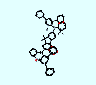 CC1(C)c2cc(N(c3ccccc3C#N)c3c(F)cc(-c4ccccc4)cc3-c3ccccc3)ccc2-c2c1cc(N(c1ccccc1C#N)c1c(F)cc(-c3ccccc3)cc1-c1ccccc1)c1ccccc21